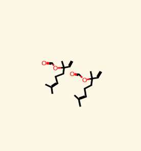 C=CC(C)(CCC=C(C)C)OC=O.C=CC(C)(CCC=C(C)C)OC=O